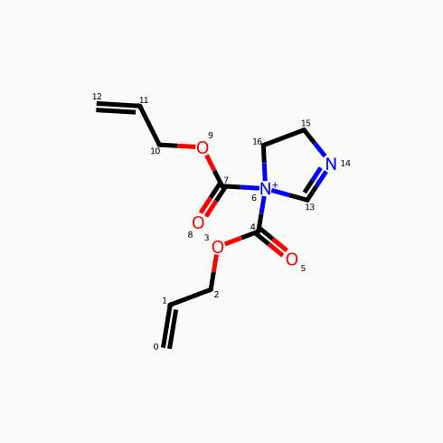 C=CCOC(=O)[N+]1(C(=O)OCC=C)C=NCC1